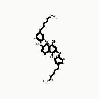 CCCCCCc1ccc(NC2=CC(=O)c3c(O)c(Nc4ccc(CCCCCC)cc4)cc(O)c3C2=O)cc1